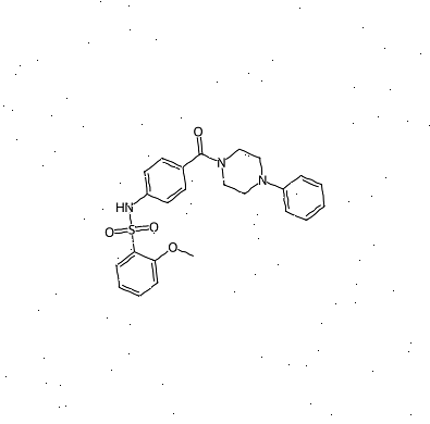 COc1ccccc1S(=O)(=O)Nc1ccc(C(=O)N2CCN(c3ccccc3)CC2)cc1